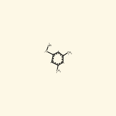 CCCOc1[c]c(C)cc(C)c1